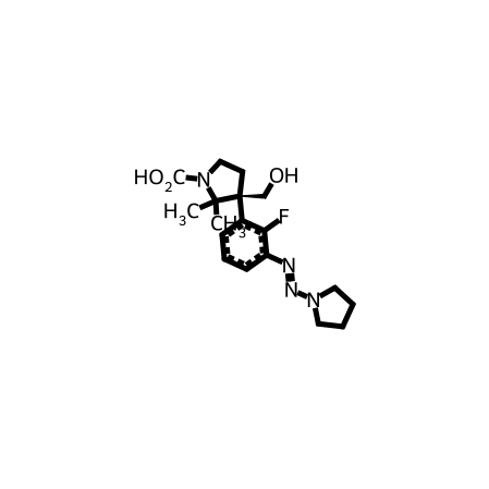 CC1(C)N(C(=O)O)CC[C@]1(CO)c1cccc(/N=N/N2CCCC2)c1F